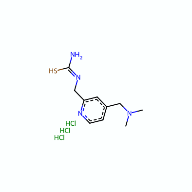 CN(C)Cc1ccnc(CN=C(N)S)c1.Cl.Cl.Cl